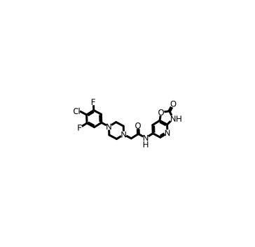 O=C(CN1CCN(c2cc(F)c(Cl)c(F)c2)CC1)Nc1cnc2[nH]c(=O)oc2c1